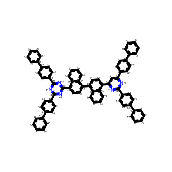 c1ccc(-c2ccc(-c3cc(-c4ccc(-c5ccc(-c6nc(-c7ccc(-c8ccccc8)cc7)nc(-c7ccc(-c8ccccc8)cc7)n6)c6ccccc56)c5ccccc45)nc(-c4ccc(-c5ccccc5)cc4)n3)cc2)cc1